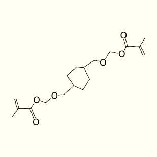 C=C(C)C(=O)OCOCC1CCC(COCOC(=O)C(=C)C)CC1